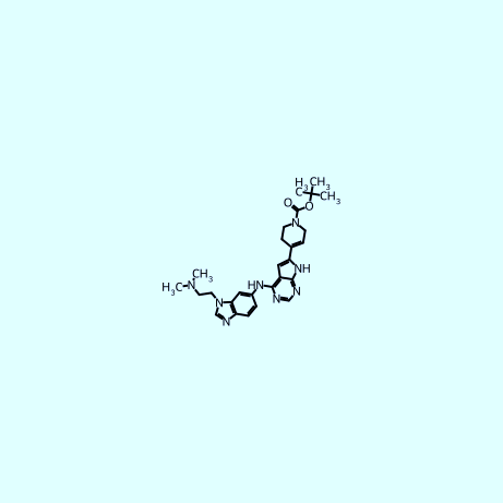 CN(C)CCn1cnc2ccc(Nc3ncnc4[nH]c(C5=CCN(C(=O)OC(C)(C)C)CC5)cc34)cc21